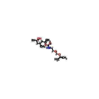 C=C(C)OCOCCNC(=O)OC(C)CC(CC(O)CC)OC(C)=O